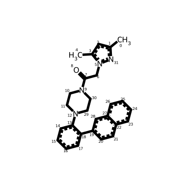 Cc1cc(C)n(CC(=O)N2CCN(c3ccccc3-c3ccc4ccccc4c3)CC2)n1